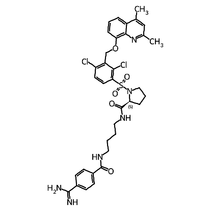 Cc1cc(C)c2cccc(OCc3c(Cl)ccc(S(=O)(=O)N4CCC[C@H]4C(=O)NCCCCNC(=O)c4ccc(C(=N)N)cc4)c3Cl)c2n1